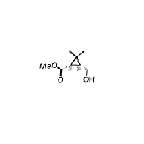 COC(=O)[C@H]1[C@@H](CO)C1(C)C